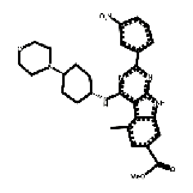 COC(=O)c1cc(C)c2c(c1)[nH]c1nc(-c3cccc([N+](=O)[O-])c3)nc(N[C@H]3CC[C@H](N4CCOCC4)CC3)c12